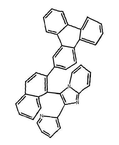 c1ccc(-c2nc3ccccn3c2-c2c(-c3ccc4c5ccccc5c5ccccc5c4c3)ccc3ccccc23)nc1